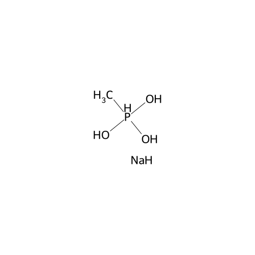 C[PH](O)(O)O.[NaH]